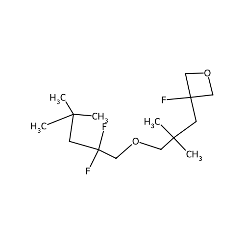 CC(C)(C)CC(F)(F)COCC(C)(C)CC1(F)COC1